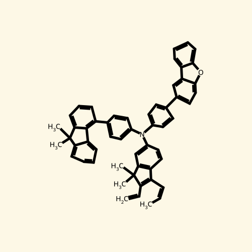 C=CC1=C(/C=C\C)c2ccc(N(c3ccc(-c4ccc5oc6ccccc6c5c4)cc3)c3ccc(-c4cccc5c4-c4ccccc4C5(C)C)cc3)cc2C1(C)C